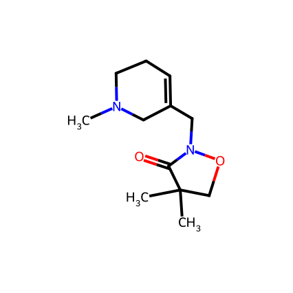 CN1CCC=C(CN2OCC(C)(C)C2=O)C1